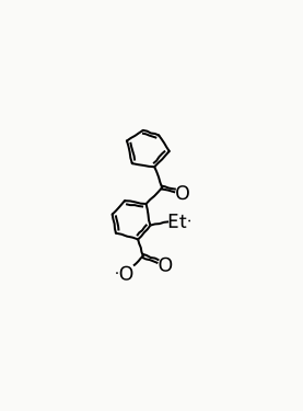 [CH][CH]c1c(C([O])=O)cccc1C(=O)c1ccccc1